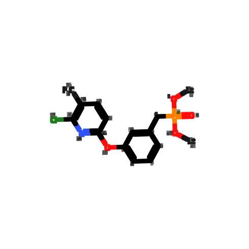 CCOP(=O)(Cc1cccc(Oc2ccc(C(F)(F)F)c(Cl)n2)c1)OCC